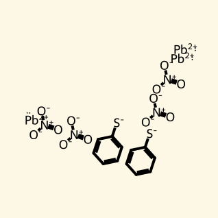 O=[N+]([O-])[O-].O=[N+]([O-])[O-].O=[N+]([O-])[O-].O=[N+]([O-])[O-].[Pb+2].[Pb+2].[Pb+2].[S-]c1ccccc1.[S-]c1ccccc1